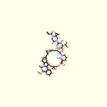 C=CC(=O)N1C[C@H](C)N(C(=O)N(C)[C@H](C(=O)N[C@H]2Cc3nc(cs3)-c3ccc4c(c3)c(c(-c3cccnc3[C@H](C)OC)n4CC)CC(C)(C)COC(=O)[C@@H]3CCCN(N3)C2=O)C(C)C)CC12CC2